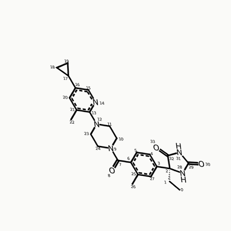 CC[C@@]1(c2ccc(C(=O)N3CCN(c4ncc(C5CC5)cc4C)CC3)c(C)c2)NC(=O)NC1=O